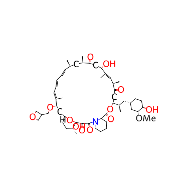 CO[C@@H]1C[C@H](C[C@@H](C)[C@@H]2CC(=O)[C@H](C)/C=C(\C)[C@@H](O)CC(=O)[C@H](C)C[C@H](C)/C=C/C=C/C=C(\C)C(OCC3COC3)C[C@@H]3CC[C@@H](C)[C@@](O)(O3)C(=O)C(=O)N3CCCCC3C(=O)O2)CC[C@H]1O